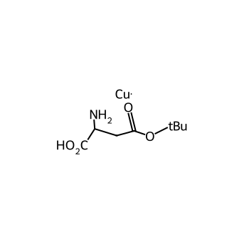 CC(C)(C)OC(=O)CC(N)C(=O)O.[Cu]